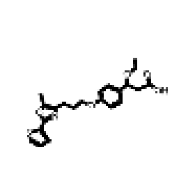 CCOC(CC(=O)O)c1ccc(OCCCc2nc(-c3cccs3)oc2C)cc1